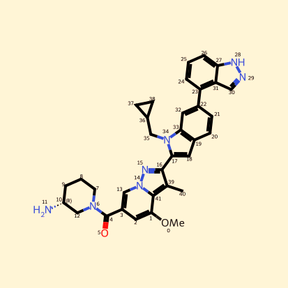 COc1cc(C(=O)N2CCC[C@@H](N)C2)cn2nc(-c3cc4ccc(-c5cccc6[nH]ncc56)cc4n3CC3CC3)c(C)c12